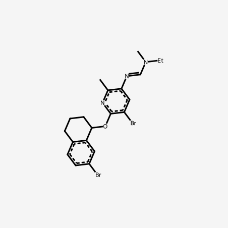 CCN(C)/C=N/c1cc(Br)c(OC2CCCc3ccc(Br)cc32)nc1C